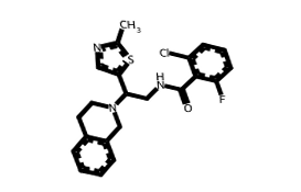 Cc1ncc(C(CNC(=O)c2c(F)cccc2Cl)N2CCc3ccccc3C2)s1